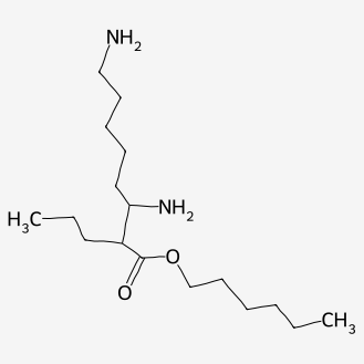 CCCCCCOC(=O)C(CCC)C(N)CCCCCN